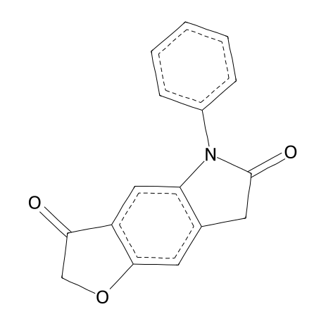 O=C1COc2cc3c(cc21)N(c1ccccc1)C(=O)C3